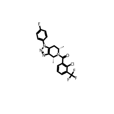 C[C@@H]1c2nnn(-c3ccc(F)cc3)c2C[C@H](C)N1C(=O)c1cccc(C(F)(F)F)c1Cl